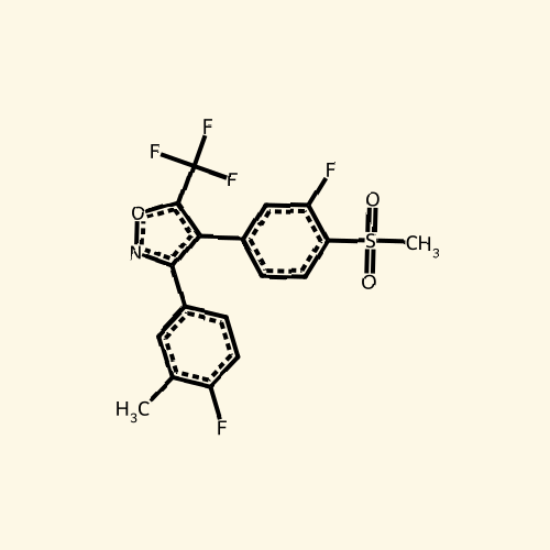 Cc1cc(-c2noc(C(F)(F)F)c2-c2ccc(S(C)(=O)=O)c(F)c2)ccc1F